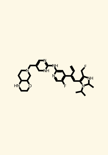 C=C/C(=C\C1=C(CF)NC(C)N1C(C)C)c1cc(NC2=NC=C(CN3CCC4NCCOC4C3)CN2)ncc1F